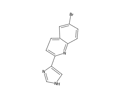 Brc1ccc2nc(-c3c[nH]cn3)ccc2c1